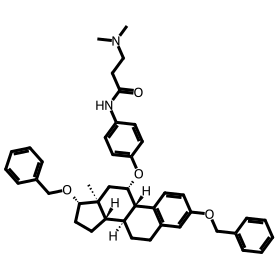 CN(C)CCC(=O)Nc1ccc(O[C@H]2C[C@]3(C)[C@@H](OCc4ccccc4)CC[C@H]3[C@@H]3CCc4cc(OCc5ccccc5)ccc4[C@H]32)cc1